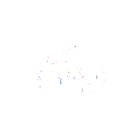 CC[C@H]([C@@H]1CC[C@@H](N=[N+]=[N-])[C@@H](O[C@H]2[C@H](O)[C@@H](O)[C@H](N=[N+]=[N-])C[C@@H]2N=[N+]=[N-])O1)N(Cc1ccccc1)C(=O)OCc1ccccc1